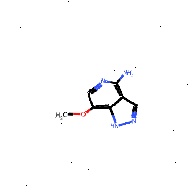 COc1cnc(N)c2cn[nH]c12